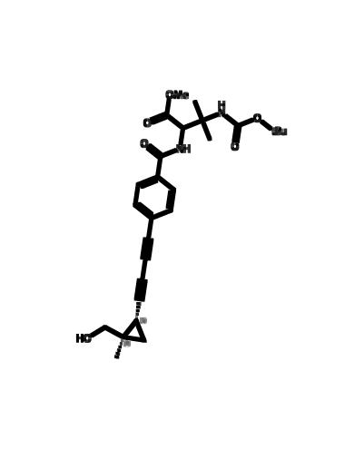 COC(=O)C(NC(=O)c1ccc(C#CC#C[C@@H]2C[C@@]2(C)CO)cc1)C(C)(C)NC(=O)OC(C)(C)C